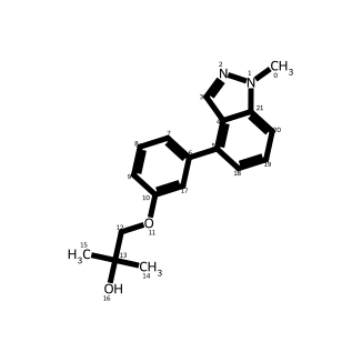 Cn1ncc2c(-c3cccc(OCC(C)(C)O)c3)cccc21